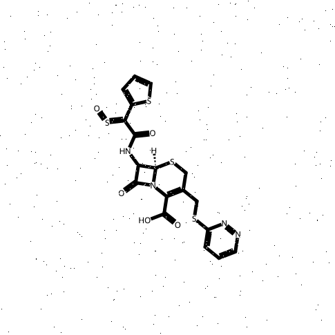 O=S=C(C(=O)NC1C(=O)N2C(C(=O)O)=C(CSc3cccnn3)CS[C@H]12)c1cccs1